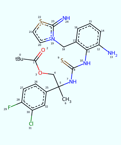 CC(C)(C)C(=O)OCC(C)(NC(=S)Nc1c(N)cccc1Cn1ccsc1=N)c1ccc(F)c(Cl)c1